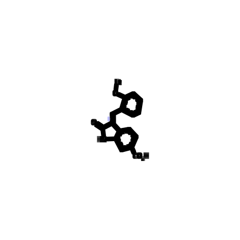 CCOc1ccccc1/C=C1/C(=O)Nc2cc(C(=O)O)ccc21